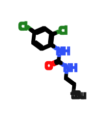 CC(C)(C)CCNC(=O)Nc1ccc(Cl)cc1Cl